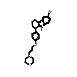 Brc1ccc2[nH]c3c(c2c1)CCCC3c1ccc(OCCCN2CCSCC2)cc1